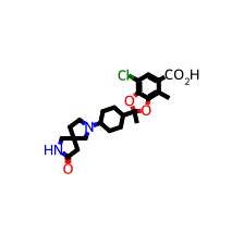 Cc1c(C(=O)O)cc(Cl)c2c1OC(C)(C1CCC(N3CCC4(CNC(=O)C4)C3)CC1)O2